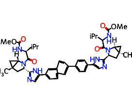 COC(=O)NC(C(=O)N1[C@H]2C[C@@]2(C)C[C@H]1c1ncc(-c2ccc(-c3ccc4cc(-c5cnc([C@@H]6C[C@]7(C)C[C@@H]7N6C(=O)[C@@H](NC(=O)OC)C(C)C)[nH]5)ccc4c3)cc2)[nH]1)C(C)C